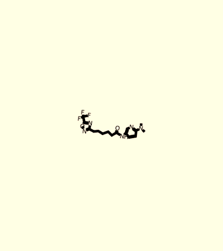 CN(C)c1ccc(NC(=O)CCCCCc2noc(C(F)(F)F)n2)cn1